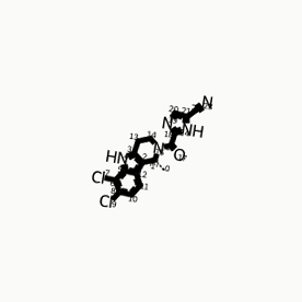 C[C@@H]1c2c([nH]c3c(Cl)c(Cl)ccc23)CCN1C(=O)c1ncc(C#N)[nH]1